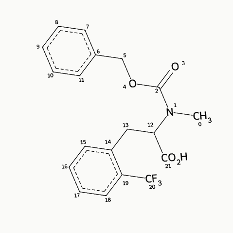 CN(C(=O)OCc1ccccc1)C(Cc1ccccc1C(F)(F)F)C(=O)O